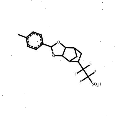 Cc1ccc(C2OC3C4CC(C3O2)C(C(F)(F)C(F)(F)S(=O)(=O)O)C4)cc1